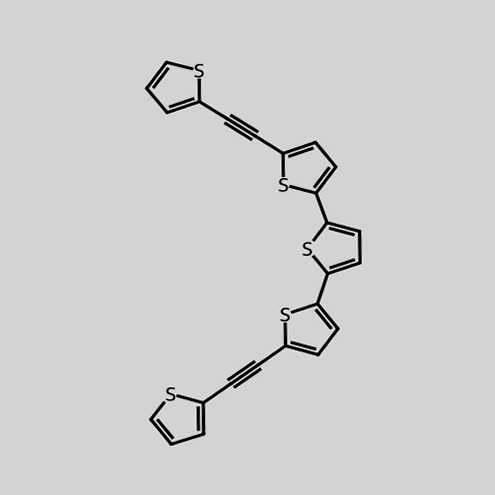 C(#Cc1ccc(-c2ccc(-c3ccc(C#Cc4cccs4)s3)s2)s1)c1cccs1